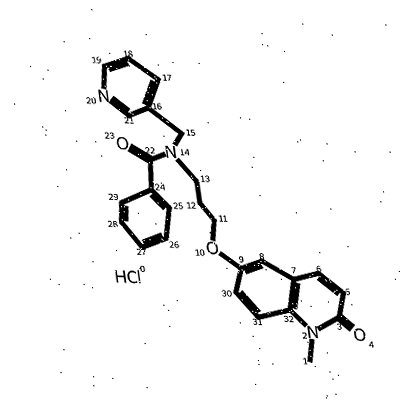 Cl.Cn1c(=O)ccc2cc(OCCCN(Cc3cccnc3)C(=O)c3ccccc3)ccc21